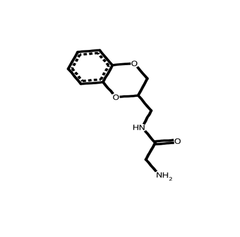 NCC(=O)NCC1COc2ccccc2O1